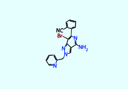 N#Cc1ccccc1-c1nc(N)c2cn(Cc3ccccn3)nc2c1Br